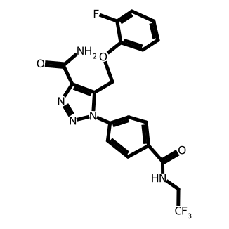 NC(=O)c1nnn(-c2ccc(C(=O)NCC(F)(F)F)cc2)c1COc1ccccc1F